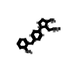 Cc1ccccc1Cc1ccc(N2CCC(C)C2CC(=O)O)cc1